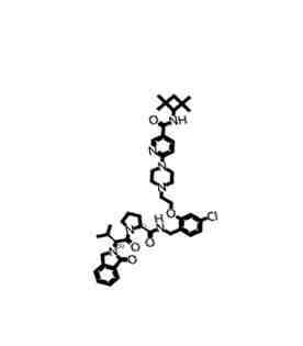 CC(C)[C@@H](C(=O)N1CCC[C@H]1C(=O)NCc1ccc(Cl)cc1OCCN1CCN(c2ccc(C(=O)NC3C(C)(C)CC3(C)C)cn2)CC1)N1Cc2ccccc2C1=O